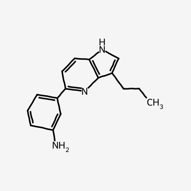 CCCc1c[nH]c2ccc(-c3cccc(N)c3)nc12